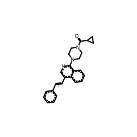 O=C(C1CC1)N1CCN(c2ncc(/C=C/c3ccccc3)c3ccccc23)CC1